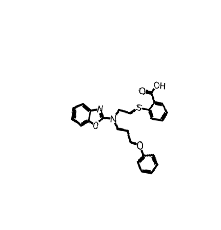 O=C(O)c1ccccc1SCCN(CCCOc1ccccc1)c1nc2ccccc2o1